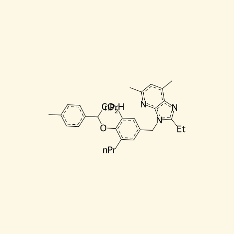 CCCc1cc(Cn2c(CC)nc3c(C)cc(C)nc32)cc(CCC)c1OC(C(=O)O)c1ccc(C)cc1